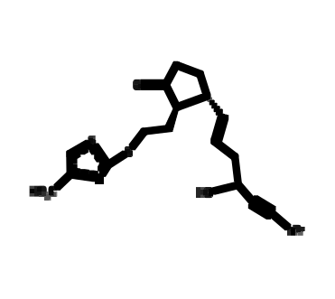 CCCC#CC(O)C/C=C/[C@H]1CCC(=O)[C@@H]1CCSc1nc(C(=O)O)cs1